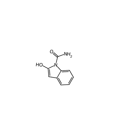 NC(=O)n1c(O)cc2ccccc21